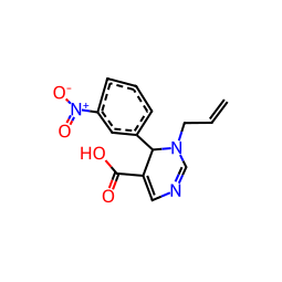 C=CCN1C=NC=C(C(=O)O)C1c1cccc([N+](=O)[O-])c1